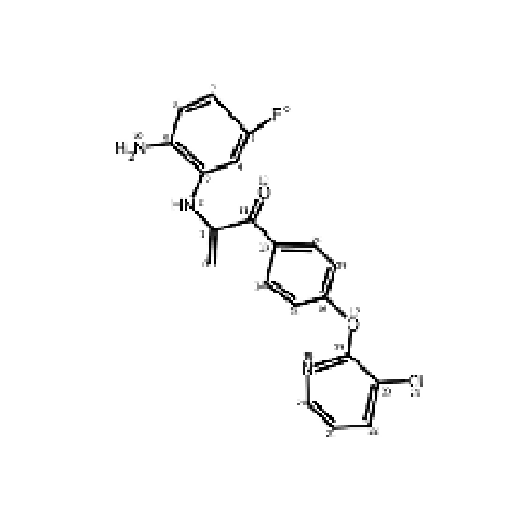 C=C(Nc1cc(F)ccc1N)C(=O)c1ccc(Oc2ncccc2Cl)cc1